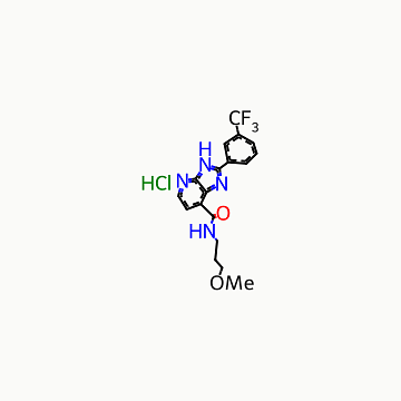 COCCCNC(=O)c1ccnc2[nH]c(-c3cccc(C(F)(F)F)c3)nc12.Cl